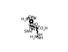 CSc1nc(Oc2ccc(C#N)c(N(C)C)c2)c([N+](=O)[O-])c(OC(CCCNC(=N)N)C(=O)O)n1